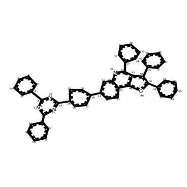 c1ccc(-c2nc(-c3ccccc3)nc(-c3ccc(-c4ccc5c(c4)nc(-c4ccccc4)c4c(-c6ccccc6)c(-c6ccccc6)oc45)cc3)n2)cc1